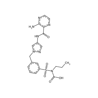 CCCN(C(=O)O)S(=O)(=O)c1cccc(Cn2cc(NC(=O)c3nccnc3N)cn2)c1